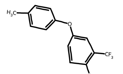 Cc1ccc(Oc2ccc(C)c(C(F)(F)F)c2)cc1